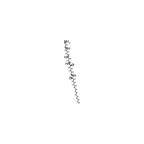 CCCCCCCCCCCCCCCC(=O)NCCCCCC(=O)NCCCNCCCCNCCCN